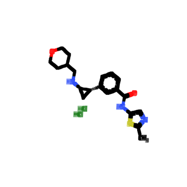 Cc1ncc(NC(=O)c2cccc([C@@H]3C[C@H]3NCC3CCOCC3)c2)s1.Cl.Cl